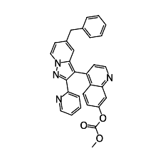 COC(=O)Oc1ccc2c(-c3c(-c4ccccn4)nn4ccc(Cc5ccccc5)cc34)ccnc2c1